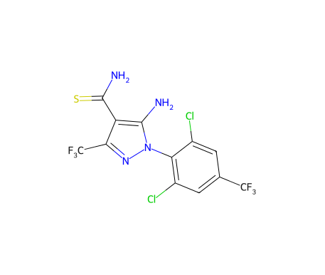 NC(=S)c1c(C(F)(F)F)nn(-c2c(Cl)cc(C(F)(F)F)cc2Cl)c1N